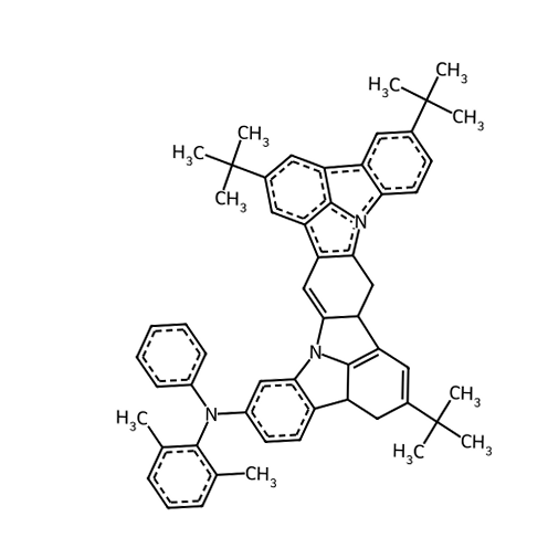 Cc1cccc(C)c1N(c1ccccc1)c1ccc2c(c1)N1C3=Cc4c(n5c6ccc(C(C)(C)C)cc6c6cc(C(C)(C)C)cc4c65)CC3C3=C1C2CC(C(C)(C)C)=C3